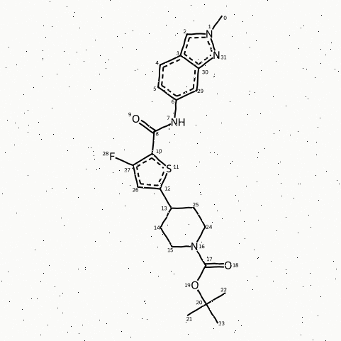 Cn1cc2ccc(NC(=O)c3sc(C4CCN(C(=O)OC(C)(C)C)CC4)cc3F)cc2n1